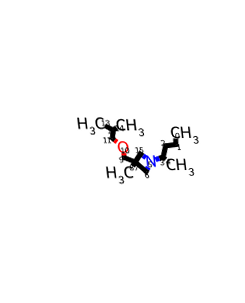 CCCC(C)N1CC(C)(COCC(C)C)C1